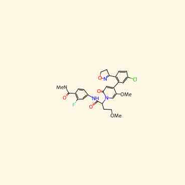 CNC(=O)c1ccc(NC(=O)C(CCOC)n2cc(OC)c(-c3cc(Cl)ccc3C3=NOCC3)cc2=O)cc1F